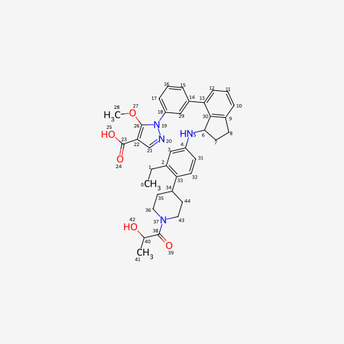 CCc1cc(NC2CCc3cccc(-c4cccc(-n5ncc(C(=O)O)c5OC)c4)c32)ccc1C1CCN(C(=O)C(C)O)CC1